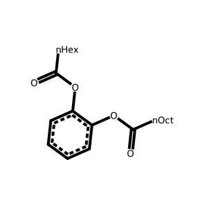 CCCCCCCCC(=O)Oc1ccccc1OC(=O)CCCCCC